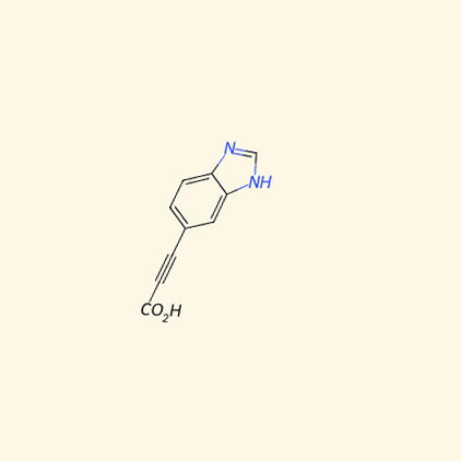 O=C(O)C#Cc1ccc2nc[nH]c2c1